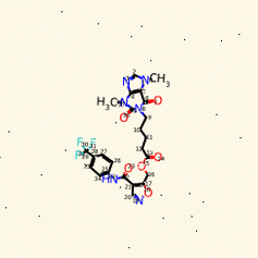 Cn1cnc2c1c(=O)n(CCCCC(=O)OCc1oncc1C(=O)Nc1ccc(C(F)(F)F)cc1)c(=O)n2C